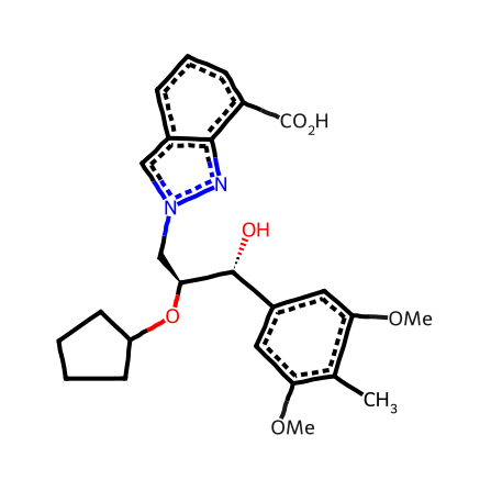 COc1cc([C@@H](O)[C@H](Cn2cc3cccc(C(=O)O)c3n2)OC2CCCC2)cc(OC)c1C